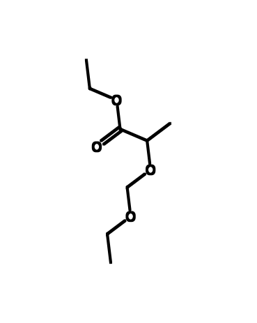 CCOCOC(C)C(=O)OCC